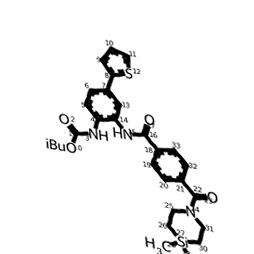 CC(C)COC(=O)Nc1ccc(-c2cccs2)cc1NC(=O)c1ccc(C(=O)N2CC[Si](C)(C)CC2)cc1